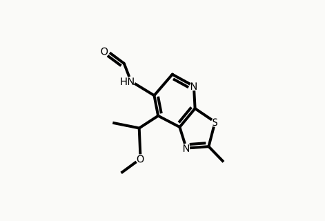 COC(C)c1c(NC=O)cnc2sc(C)nc12